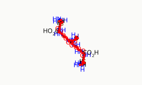 N=C1N[C@H]2CSC(CCCCC(=O)N[C@@H](CC(=O)NCCOCCOCCNC(=O)c3cc(NC(=O)c4ccc(I)cc4)cc(C(=O)NCCOCCOCCNC(=O)C[C@H](NC(=O)CCCCC4SC[C@@H]5NC(=N)N[C@H]45)C(=O)O)c3)C(=O)O)[C@H]2N1